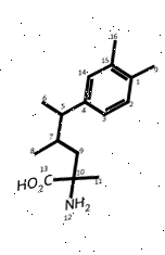 Cc1ccc(C(C)C(C)CC(C)(N)C(=O)O)cc1C